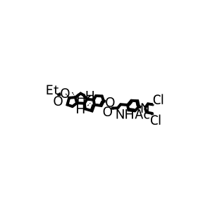 CCC(=O)O[C@H]1CC[C@H]2[C@@H]3CC=C4C=C(OC(=O)C(Cc5ccc(N(CCCl)CCCl)cc5)NC(C)=O)CC[C@]4(C)[C@H]3CC[C@]12C